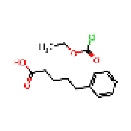 CCOC(=O)Cl.O=C(O)CCCCc1ccccc1